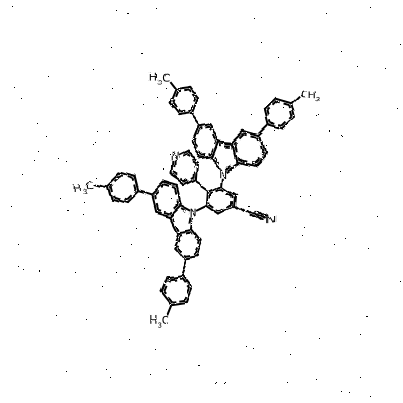 Cc1ccc(-c2ccc3c(c2)c2cc(-c4ccc(C)cc4)ccc2n3-c2cc(C#N)cc(-n3c4ccc(-c5ccc(C)cc5)cc4c4cc(-c5ccc(C)cc5)ccc43)c2-c2ccncc2)cc1